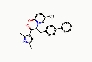 Cc1cc(C(=O)C(Cc2ccc(-c3ccccc3)cc2)n2cc(C#N)ccc2=O)c(C)[nH]1